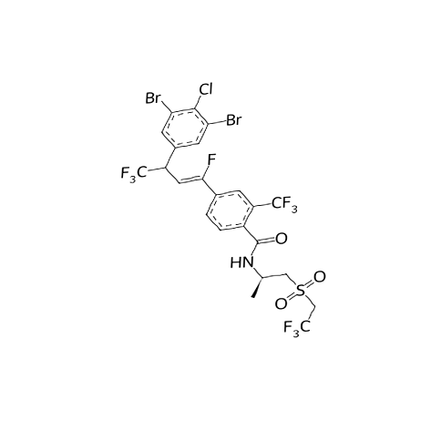 C[C@H](CS(=O)(=O)CC(F)(F)F)NC(=O)c1ccc(/C(F)=C/C(c2cc(Br)c(Cl)c(Br)c2)C(F)(F)F)cc1C(F)(F)F